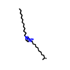 CCCCCCCCCCCCCn1cc[n+](CCCCCCCCCC(C)C)c1